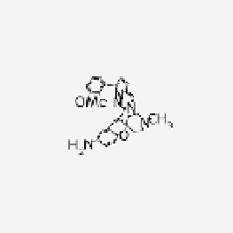 COc1ccccc1-c1ccc2cnc(C3=Cc4cc(N)ccc4OC34CCN(C)CC4)nn12